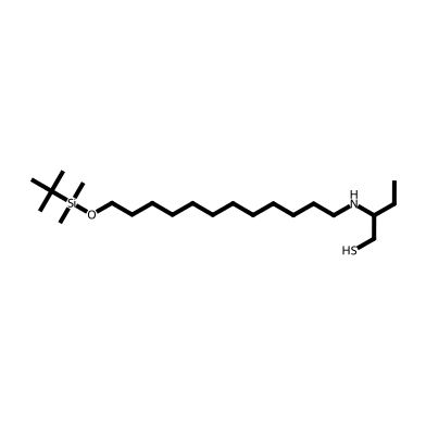 CCC(CS)NCCCCCCCCCCCCO[Si](C)(C)C(C)(C)C